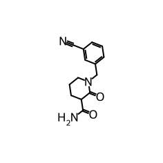 N#Cc1cccc(CN2CCCC(C(N)=O)C2=O)c1